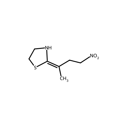 CC(CC[N+](=O)[O-])=C1NCCS1